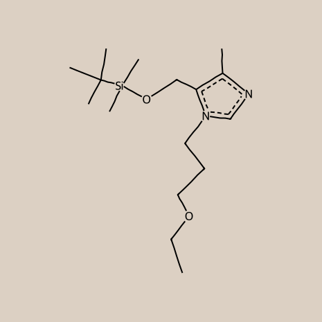 CCOCCCn1cnc(C)c1CO[Si](C)(C)C(C)(C)C